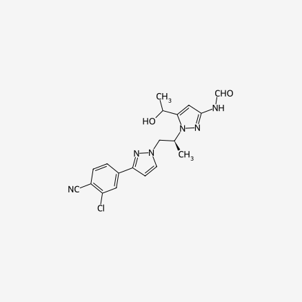 CC(O)c1cc(NC=O)nn1[C@@H](C)Cn1ccc(-c2ccc(C#N)c(Cl)c2)n1